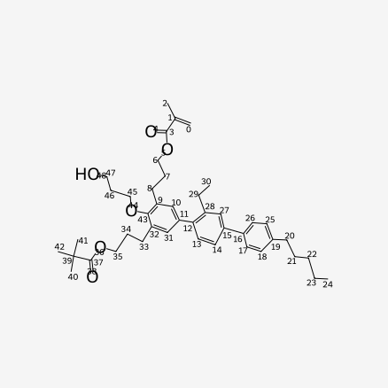 C=C(C)C(=O)OCCCc1cc(-c2ccc(-c3ccc(CCCCC)cc3)cc2CC)cc(CCCOC(=O)C(C)(C)C)c1OCCCO